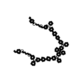 C=Cc1ccc(OCCCCOCc2ccc(N(c3ccccc3)c3ccc(-c4ccc(-c5ccc(-c6ccc(N(c7ccccc7)c7ccc([Si](c8ccccc8)(c8ccccc8)c8ccc(N(c9ccccc9)c9ccc(-c%10ccc(-c%11ccc(-c%12ccc(N(c%13ccccc%13)c%13ccc(COCCCCOc%14ccc(C=C)cc%14)cc%13)cc%12)cc%11)cc%10)cc9)cc8)cc7)cc6)cc5)cc4)cc3)cc2)cc1